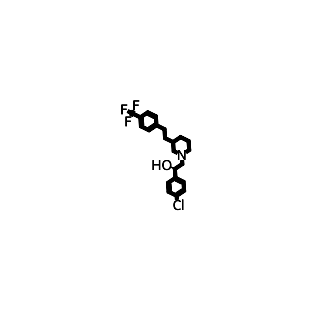 O[C@H](CN1CCCC(CCc2ccc(C(F)(F)F)cc2)C1)c1ccc(Cl)cc1